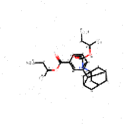 O=C(NC12CC3CC(C1)C(c1cccc(C(=O)OC(CS(=O)(=O)O)C(F)(F)F)c1)C(C3)C2)OC(CS(=O)(=O)O)C(F)(F)F